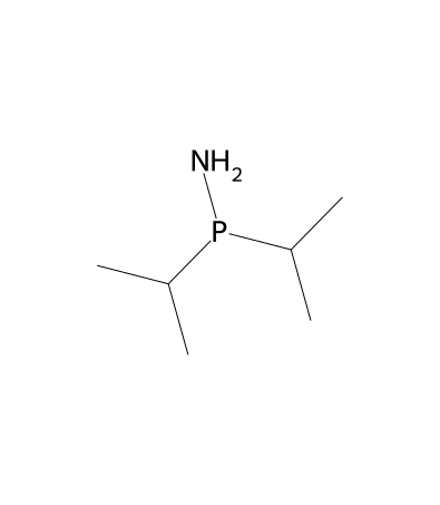 CC(C)P(N)C(C)C